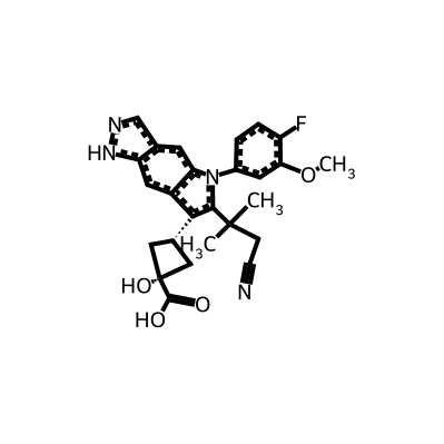 COc1cc(-n2c(C(C)(C)CC#N)c([C@H]3C[C@](O)(C(=O)O)C3)c3cc4[nH]ncc4cc32)ccc1F